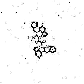 NC(OC(=O)C(=O)OC(N)C(Cc1ccccc1)c1cc(F)cc2ccoc12)C(Cc1ccccc1)c1cc(F)cc2ccoc12